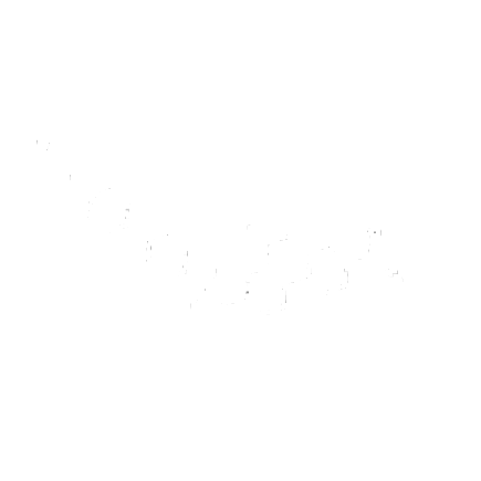 CCCc1ccc(-c2ccc(C(F)(F)Oc3ccc(-c4ccc(C(C)O)cc4)c(C(F)F)c3F)cc2)cc1